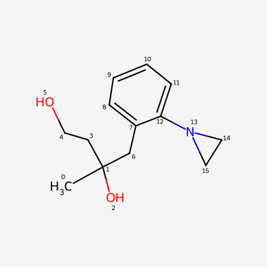 CC(O)(CCO)Cc1ccccc1N1CC1